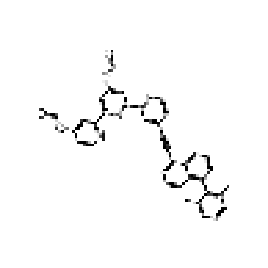 Cc1cccc(C)c1-c1cccc2c(C#Cc3ccnc(-c4cc(OC=O)cc(-c5cc(OC=O)ccn5)n4)c3)cccc12